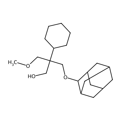 COCC(CO)(COC1C2CC3CC(C2)CC1C3)C1CCCCC1